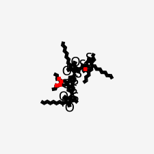 CCCCCCCCN1C(=O)c2c(C)sc(-c3cc4c(s3)-c3sc(-c5sc(-c6cc7c(s6)-c6sc(C)cc6[Si]7(CCCCCCCC)CC(CC)CCCC)c6c5C(=O)N(CCCCCCCC)C6=O)cc3[Si]4(CC(CC)CCCC)CC(CC)CCCC)c2C1=O